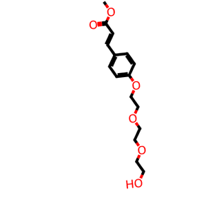 COC(=O)/C=C/c1ccc(OCCOCCOCCO)cc1